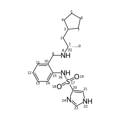 C[C@@H](CC1CCCC1)NCc1ccccc1NS(=O)(=O)c1c[nH]cn1